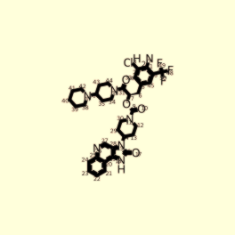 Nc1c(Cl)cc(C[C@@H](OC(=O)N2CCC(n3c(=O)[nH]c4c5ccccc5ncc43)CC2)C(=O)N2CCC(N3CCCCC3)CC2)cc1C(F)(F)F